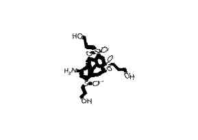 Nc1cc([S+]([O-])CCCO)c2ccc3c(S(=O)(=O)CCCO)cc(S(=O)(=O)CCCO)c4ccc1c2c43